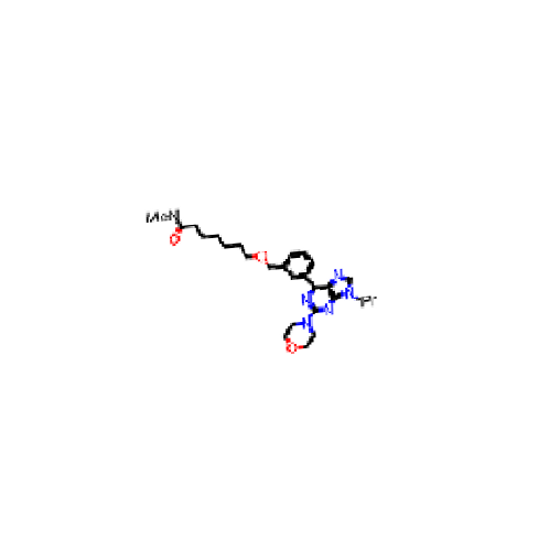 CNC(=O)CCCCCCOCc1cccc(-c2nc(N3CCOCC3)nc3c2ncn3C(C)C)c1